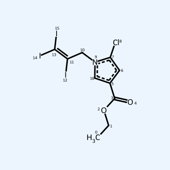 CCOC(=O)c1cc(Cl)n(CC(I)=C(I)I)c1